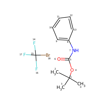 CC(C)(C)OC(=O)Nc1ccccc1.FC(F)(F)Br